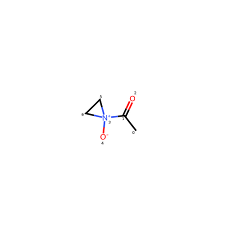 CC(=O)[N+]1([O-])CC1